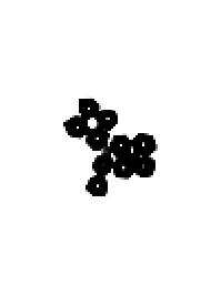 c1ccc(-c2ccc(N(c3ccc4c(c3)-c3ccccc3-c3ccccc3-c3ccccc3-4)c3ccc4c(c3)C(c3ccccc3)(c3ccccc3)c3ccccc3-4)cc2)cc1